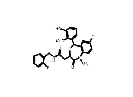 COc1c(O)cccc1C1OC(CC(=O)NCc2ccccc2F)C(=O)N(C)c2ccc(Cl)cc21